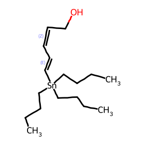 CCC[CH2][Sn](/[CH]=C/C=C\CO)([CH2]CCC)[CH2]CCC